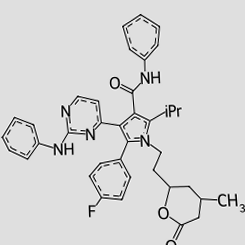 CC1CC(=O)OC(CCn2c(-c3ccc(F)cc3)c(-c3ccnc(Nc4ccccc4)n3)c(C(=O)Nc3ccccc3)c2C(C)C)C1